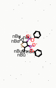 CCC[CH2][Sn]([CH2]CCC)([CH2]CCC)[CH]1S[CH]([Sn]([CH2]CCC)([CH2]CCC)[CH2]CCC)C(=[P+](\[O-])Oc2ccccc2)/C1=[P+](\[O-])Oc1ccccc1